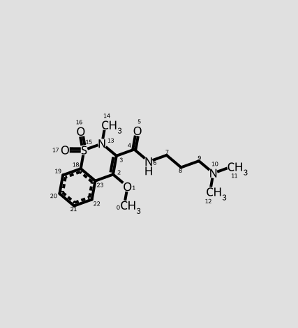 COC1=C(C(=O)NCCCN(C)C)N(C)S(=O)(=O)c2ccccc21